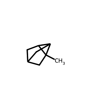 CC12CC3CC1C2C3